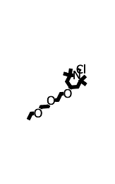 CCOCCOCCOC1CC(C)(C)N(Cl)C(C)(C)C1